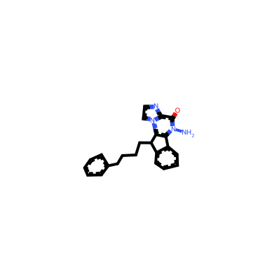 Nn1c2c(n3ccnc3c1=O)C(CCCCc1ccccc1)c1ccccc1-2